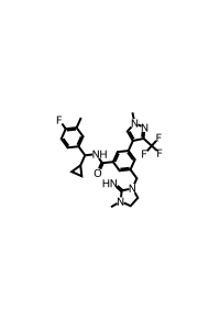 Cc1cc(C(NC(=O)c2cc(CN3CCN(C)C3=N)cc(-c3cn(C)nc3C(F)(F)F)c2)C2CC2)ccc1F